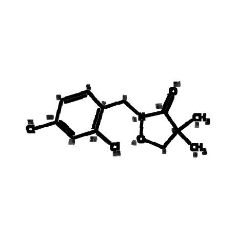 CC1(C)CON(Cc2ccc(Cl)cc2Cl)C1=O